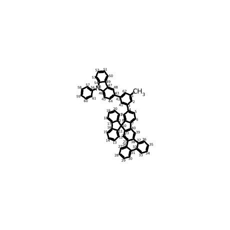 Cc1cc(-c2ccc3c(c2)C2(c4ccccc4-c4ccccc42)c2cc4c5ccccc5c5ccccc5c4cc2-3)cc(-c2ccc3c(c2)c2ccccc2n3-c2ccccc2)c1